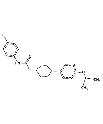 CC(C)Oc1ccc([C@H]2CC[C@@H](CC(=O)Nc3ccc(F)cc3)CC2)cc1